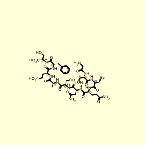 CC(C)C[C@H](NC(=O)[C@@H](NC(=O)CN)[C@@H](C)O)C(=O)N[C@@H](CCC(N)=O)C(=O)N[C@@H](CC(N)=O)C(=O)N[C@@H](CO)C(=O)N[C@@H](C)C(=O)N[C@@H](CCC(=O)O)C(=O)N[C@@H](Cc1ccccc1)C(=O)N[C@@H](CO)C(=O)O